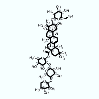 C[C@@H]1O[C@@H](O[C@H]2[C@H](OC(=O)[C@]34CCC(C)(C)C[C@@]3(C)C3=CC[C@@H]5[C@@]6(C)C[C@H](O)[C@H](O[C@@H]7O[C@H](CO)[C@@H](O)[C@H](O)[C@H]7O)[C@@](C)(C(=O)O)[C@@H]6CC[C@@]5(C)[C@]3(CO)CC4)O[C@H](C)[C@H](O)[C@@H]2O)[C@H](O)[C@H](O)[C@H]1O[C@@H]1OC[C@@H](O)[C@H](O)[C@H]1O